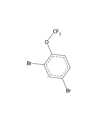 FC(F)(F)Oc1ccc(Br)[c]c1Br